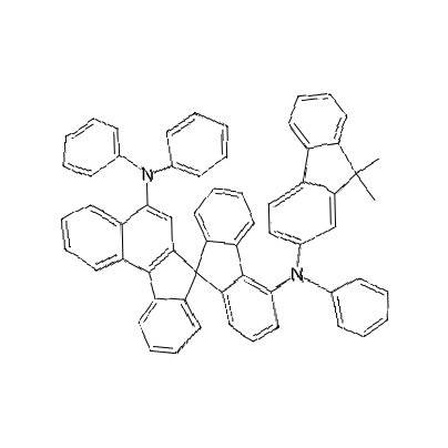 CC1(C)c2ccccc2-c2ccc(N(c3ccccc3)c3cccc4c3-c3ccccc3C43c4ccccc4-c4c3cc(N(c3ccccc3)c3ccccc3)c3ccccc43)cc21